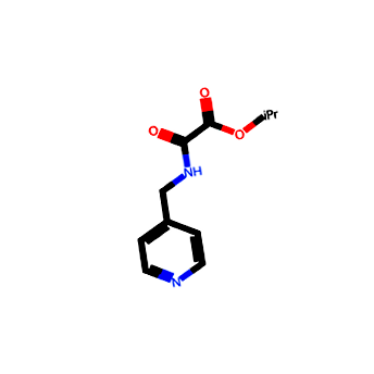 CC(C)OC(=O)C(=O)NCc1ccncc1